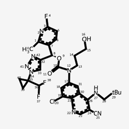 Cc1nc(F)ccc1[C@H](OC(=O)N(CCCO)c1cc(Cl)c2ncc(C#N)c(NCC(C)(C)C)c2c1)c1cn(C2(C(F)F)CC2)nn1